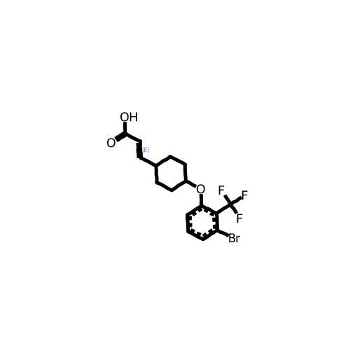 O=C(O)/C=C/C1CCC(Oc2cccc(Br)c2C(F)(F)F)CC1